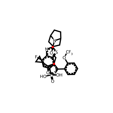 O=P(O)(O)c1cc(F)c2nc(N3C4CCC3CC(OCc3c(-c5ccccc5OC(F)(F)F)noc3C3CC3)C4)sc2c1